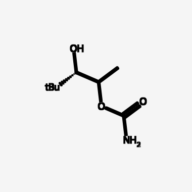 CC(OC(N)=O)[C@@H](O)C(C)(C)C